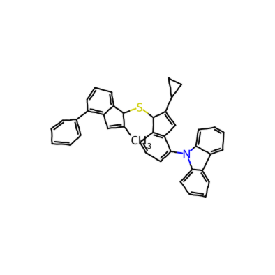 CC1=Cc2c(-c3ccccc3)cccc2C1SC1C(C2CC2)=Cc2c1cccc2-n1c2ccccc2c2ccccc21